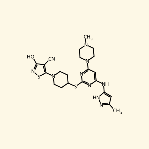 Cc1cc(Nc2cc(N3CCN(C)CC3)nc(SC3CCN(c4snc(O)c4C#N)CC3)n2)[nH]n1